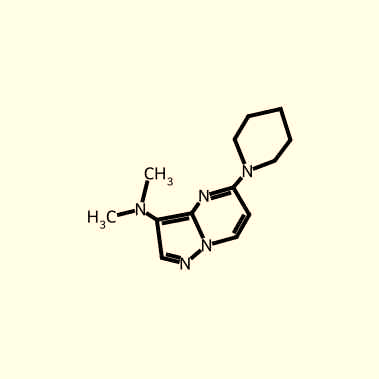 CN(C)c1cnn2ccc(N3CCCCC3)nc12